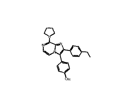 CCc1ccc(-c2nc3c(N4CCCC4)nccn3c2-c2ccc(O)cc2)cc1